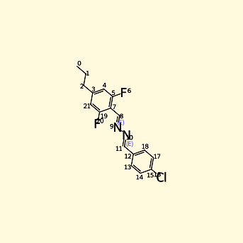 CCCc1cc(F)c(/C=N/N=C/c2ccc(Cl)cc2)c(F)c1